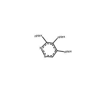 CCCCCCc1cnnc(CCCCCC)c1CCCCCC